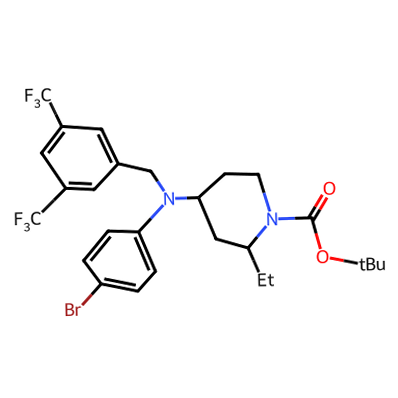 CCC1CC(N(Cc2cc(C(F)(F)F)cc(C(F)(F)F)c2)c2ccc(Br)cc2)CCN1C(=O)OC(C)(C)C